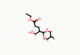 CCOC(=O)CCC(CO)C1OCC(C)CO1